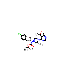 CC1OCc2ncnc(N3CCN(N(C(=O)OC(C)(C)C)[C@@H](C=O)Cc4ccc(Cl)cc4)C[C@@H]3C)c21